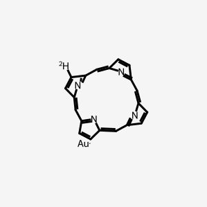 [2H]C1=CC2=CC3=NC(=CC4=NC(=CC5=NC(=CC1=N2)C=C5)C=C4)C=C3.[Au]